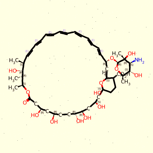 C[C@@H]1[C@H](O)[C@@H](C)/C=C/C=C/C=C/C=C/C=C/C=C/C=C/[C@H](O[C@@H]2O[C@H](C)[C@@H](O)[C@H](N)[C@@]2(C)O)C[C@@H]2O[C@@](O)(CCC2C(=O)O)C[C@@H](O)C[C@@H](O)[C@H](O)CC[C@@H](O)C[C@@H](O)CC(=O)O[C@H]1C